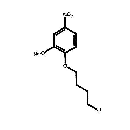 COc1cc([N+](=O)[O-])ccc1OCCCCCl